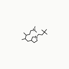 CC(CCN(C)C)C(C)CC1CCN(CCC(C)(C)C)C1